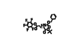 CC(C)(C)OC(=O)[C@H](CCC(=O)Oc1c(F)c(F)c(F)c(F)c1F)NC(=O)OCc1ccccc1